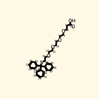 O=C(O)CCOCCOCCOCCOCCSC(c1ccccc1)(c1ccccc1)c1ccccc1